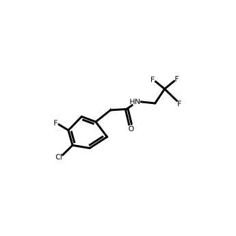 O=C([CH]c1ccc(Cl)c(F)c1)NCC(F)(F)F